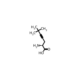 CC(C)(C)C#CC[C@H](N)C(=O)O